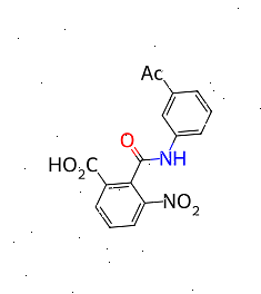 CC(=O)c1cccc(NC(=O)c2c(C(=O)O)cccc2[N+](=O)[O-])c1